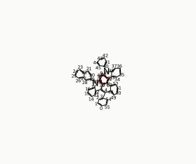 c1ccc(C(=C(c2ccccc2)c2ccccc2N(c2ccc3ccccc3c2)c2ccc3c4ccccc4n(-c4ccccc4)c3c2)c2ccccc2)cc1